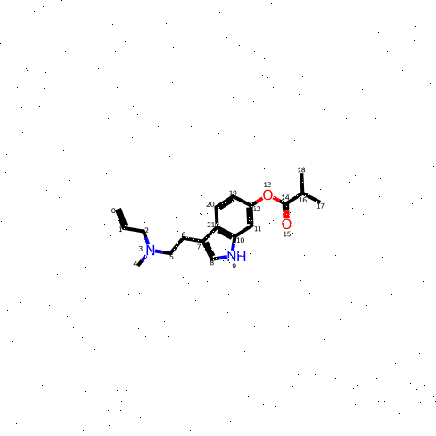 C=CCN(C)CCc1c[nH]c2cc(OC(=O)C(C)C)ccc12